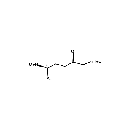 CCCCCCCC(=O)CC[C@H](NC)C(C)=O